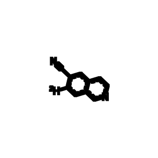 [2H]c1cc2cnccc2cc1C#N